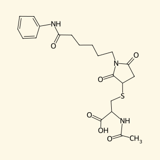 CC(=O)NC(CSC1CC(=O)N(CCCCCC(=O)Nc2ccccc2)C1=O)C(=O)O